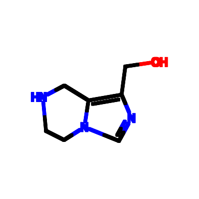 OCc1ncn2c1CNCC2